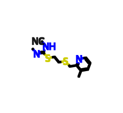 C/N=C(\NC#N)SCCSCc1ncccc1C